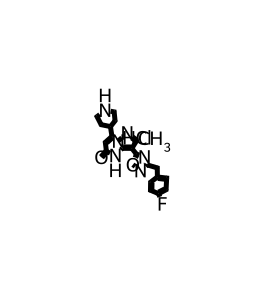 Cc1nn2c(C3CCNCC3)cc(=O)[nH]c2c1-c1nc(Cc2ccc(F)cc2)no1.Cl